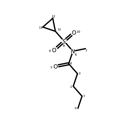 CCCCC(=O)N(C)S(=O)(=O)C1CC1